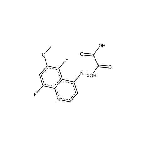 COc1cc(F)c2nccc(N)c2c1F.O=C(O)C(=O)O